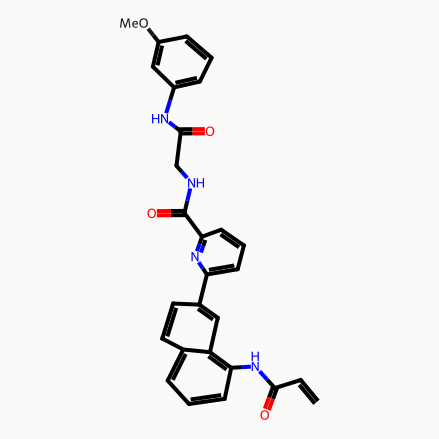 C=CC(=O)Nc1cccc2ccc(-c3cccc(C(=O)NCC(=O)Nc4cccc(OC)c4)n3)cc12